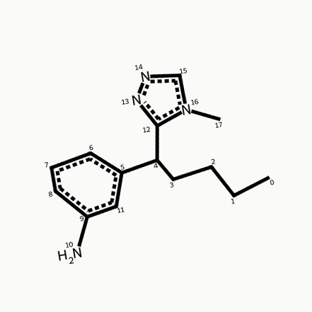 CCCCC(c1cccc(N)c1)c1nncn1C